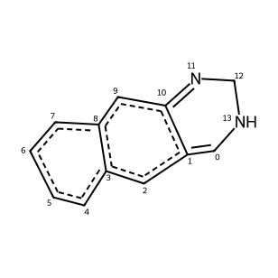 C1=c2cc3ccccc3cc2=NCN1